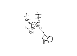 CC(C)(C)[Si](C)(C)O[C@H]1C[C@@H](O[Si](C)(C)C(C)(C)C)[C@H](OCCc2c[nH]c3ccccc23)O[C@@H]1C(O)I